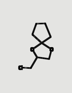 ClCC1COC2(CCCC2)O1